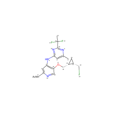 CC(=O)Nc1cc(Nc2cc(C)nc(C(C)(F)F)n2)c(OC[C@@H]2C[C@@H]2CF)cn1